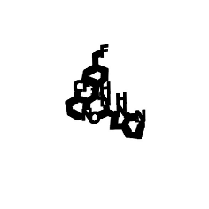 O=C(N[C@@H](c1ccc(CF)cc1)c1ncccc1C(F)(F)F)c1cc2cccnc2[nH]1